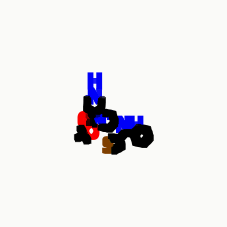 CC(C)(C)OC(=O)[N+]1(C2(C)CCNCC2)CCC(NC(c2ccccc2)c2ccsc2)CC1